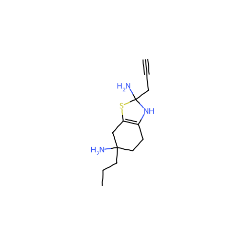 C#CCC1(N)NC2=C(CC(N)(CCC)CC2)S1